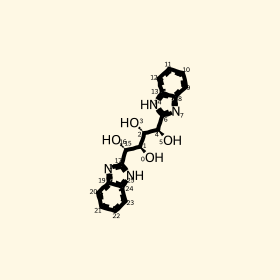 O[C@H]([C@H](O)[C@H](O)c1nc2ccccc2[nH]1)[C@@H](O)c1nc2ccccc2[nH]1